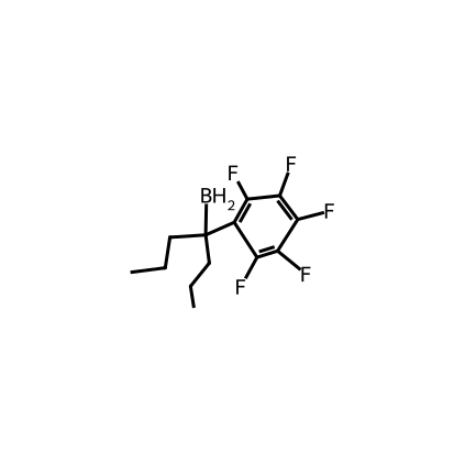 BC(CCC)(CCC)c1c(F)c(F)c(F)c(F)c1F